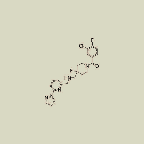 O=C(c1ccc(F)c(Cl)c1)N1CCC(F)(CNCc2cccc(-n3cccn3)n2)CC1